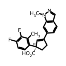 Cc1c([C@@]2(C(=O)O)C=C(c3ccc4cnn(C)c4c3)CC2)ccc(F)c1F